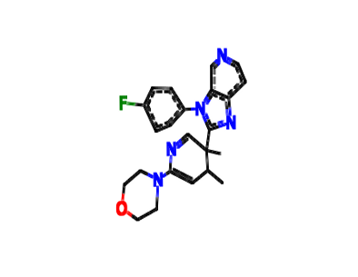 CC1C=C(N2CCOCC2)N=CC1(C)c1nc2ccncc2n1-c1ccc(F)cc1